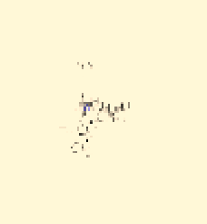 COc1cccc2c1C(=O)c1c(O)c3c(c(O)c1C2=O)C[C@@](O)(/C(CO)=N/NC(=O)CCSSc1ccccn1)C[C@@H]3O[C@@H]1C[C@@H](C)[C@H]2O[C@@H]3[C@@H](OC)OCCN3[C@H]2C1